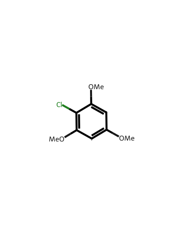 COc1[c]c(OC)c(Cl)c(OC)c1